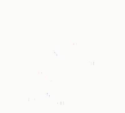 Cc1oc(-c2ccccc2)nc1CC(=O)N(C)C